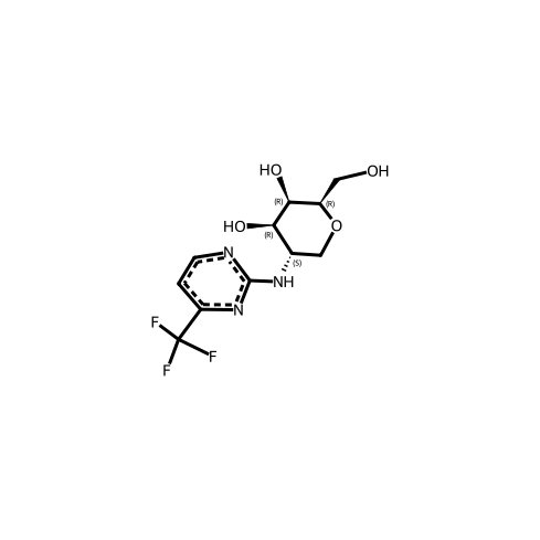 OC[C@H]1OC[C@H](Nc2nccc(C(F)(F)F)n2)[C@@H](O)[C@H]1O